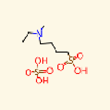 CCN(C)CCCCS(=O)(=O)O.O=S(=O)(O)O